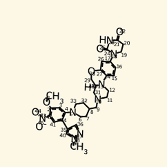 COc1cc(N2CCC(CN3CCN4c5ccc(N6CCC(=O)NC6=O)cc5OC[C@@H]4C3)CC2)c(-c2cnn(C)c2)cc1[N+](=O)[O-]